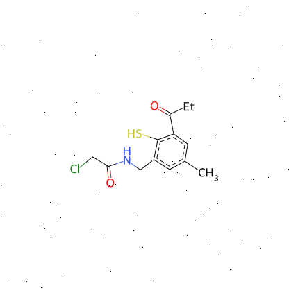 CCC(=O)c1cc(C)cc(CNC(=O)CCl)c1S